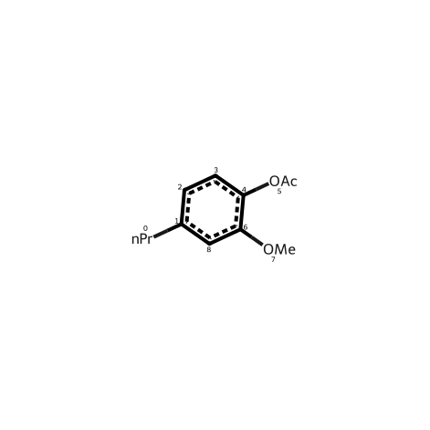 CCCc1ccc(OC(C)=O)c(OC)c1